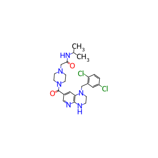 CC(C)NC(=O)CN1CCN(C(=O)c2cnc3c(c2)N(Cc2cc(Cl)ccc2Cl)CCN3)CC1